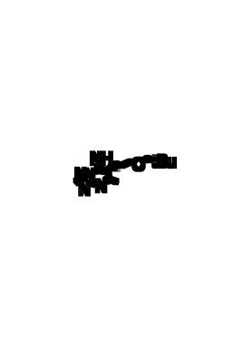 Cc1nc2ncnn2c(N)c1CCCOCC(C)(C)C